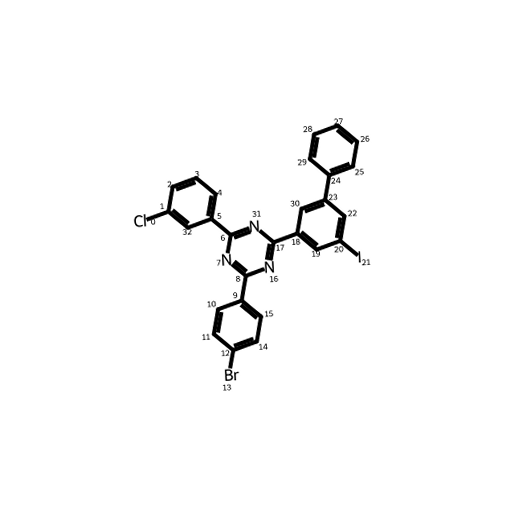 Clc1cccc(-c2nc(-c3ccc(Br)cc3)nc(-c3cc(I)cc(-c4ccccc4)c3)n2)c1